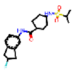 CC(C)S(=O)(=O)NC1CCC(C(=O)Nc2ccc3c(c2)CC(F)C3)CC1